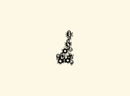 COc1ccc(C2=NN(Cc3ccc(C(=O)N4CCN(CCN5CCOCC5)CC4)cc3)C(=O)[C@H]3CC=CC[C@@H]23)c2c1OC(C)(C)C2